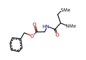 CNC(CSC)C(=O)NCC(=O)OCc1ccccc1